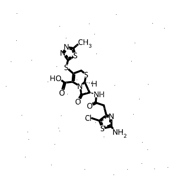 Cc1nnc(SC2=C(C(=O)O)N3C(=O)[C@@H](NC(=O)Cc4nc(N)sc4Cl)[C@@H]3SC2)s1